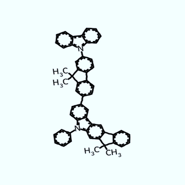 CC1(C)c2cc(-c3ccc4c(c3)c3cc5c(cc3n4-c3ccccc3)C(C)(C)c3ccccc3-5)ccc2-c2ccc(-n3c4ccccc4c4ccccc43)cc21